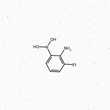 CCc1cccc(N(O)O)c1N